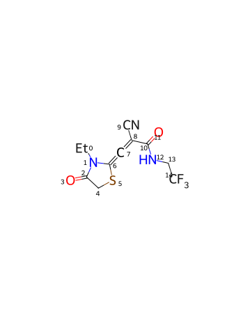 CCN1C(=O)CSC1=C=C(C#N)C(=O)NCC(F)(F)F